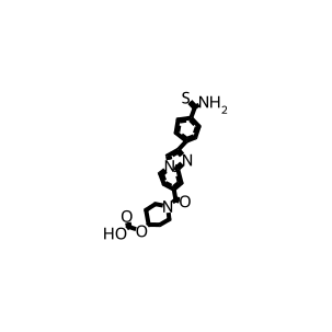 NC(=S)c1ccc(-c2cn3ccc(C(=O)N4CCC(OC(=O)O)CC4)cc3n2)cc1